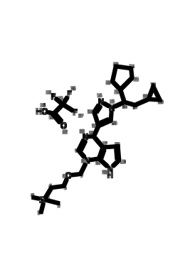 C[Si](C)(C)CCOCN1C=NC(c2cnn(C(CC3CC3)C3CCCC3)c2)c2cc[nH]c21.O=C(O)C(F)(F)F